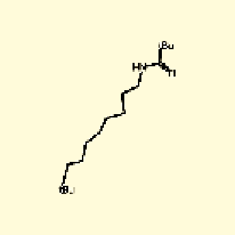 CC(C)(C)CCCCCCCCNC(=O)C(C)(C)C